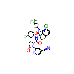 N#Cc1ccnc(N2C(=O)CC[C@H]2C(=O)N(c2cccc(F)c2)[C@@]2(C(=O)NC3CC(F)(F)C3)CCc3ccc(Cl)cc32)c1